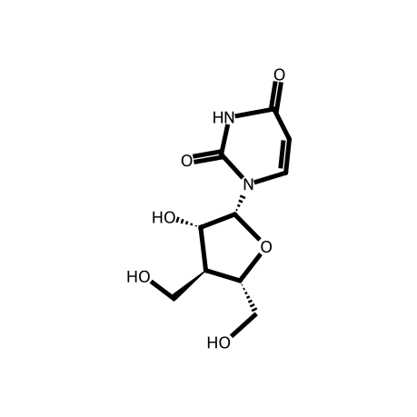 O=c1ccn([C@@H]2O[C@H](CO)[C@@H](CO)[C@@H]2O)c(=O)[nH]1